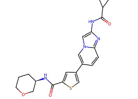 O=C(N[C@@H]1CCCOC1)c1cc(-c2ccc3nc(NC(=O)C4CC4)cn3c2)cs1